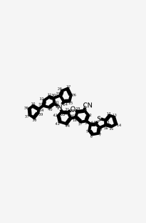 N#Cc1cc(-c2cccc3c2sc2ccccc23)cc2c1oc1c(-n3c4ccccc4c4ccc(-c5ccccc5)cc43)cccc12